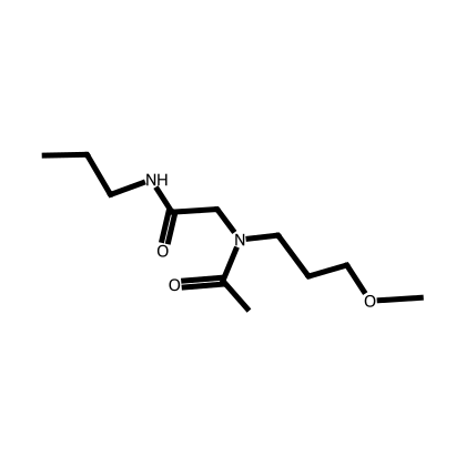 CCCNC(=O)CN(CCCOC)C(C)=O